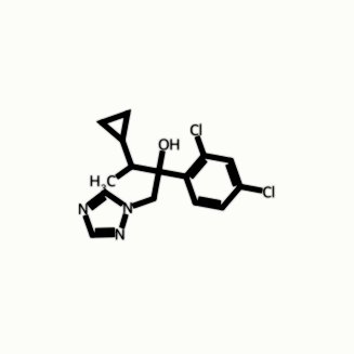 CC(C1CC1)C(O)(Cn1cncn1)c1ccc(Cl)cc1Cl